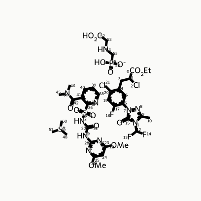 CCOC(=O)C(Cl)Cc1cc(-n2nc(C)n(C(F)F)c2=O)c(F)cc1Cl.COc1cc(OC)nc(NC(=O)NS(=O)(=O)c2ncccc2C(=O)N(C)C)n1.C[S+](C)C.O=C(O)CNCP(=O)([O-])O